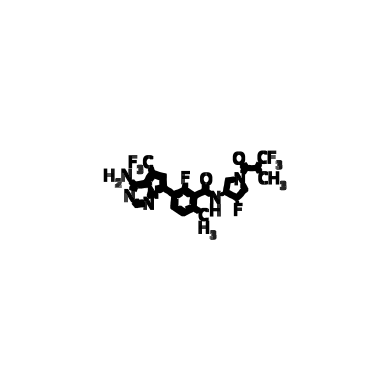 Cc1ccc(-c2cc(C(F)(F)F)c3c(N)ncnn23)c(F)c1C(=O)N[C@@H]1CN(C(=O)C(C)C(F)(F)F)C[C@@H]1F